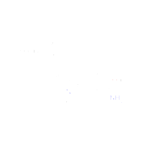 CC(C(=O)O)N(C)C.CCCCCCCC/C=C\CCCCCCCC(N)=O